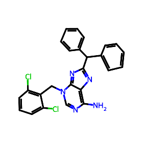 Nc1ncn(Cc2c(Cl)cccc2Cl)c2nc(C(c3ccccc3)c3ccccc3)nc1-2